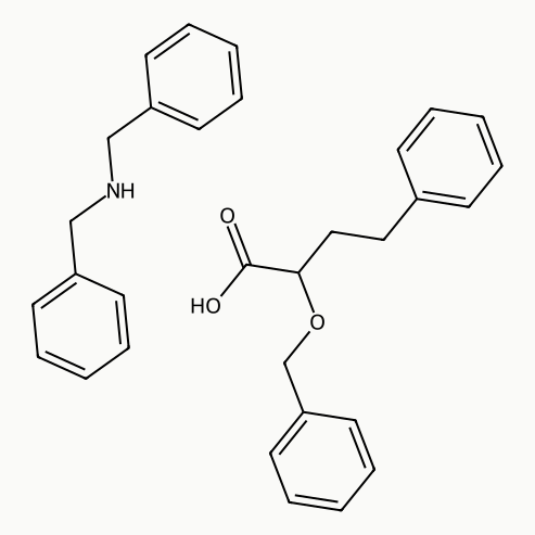 O=C(O)C(CCc1ccccc1)OCc1ccccc1.c1ccc(CNCc2ccccc2)cc1